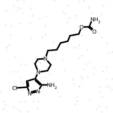 NC(=O)OCCCCCCN1CCN(c2cc(Cl)nnc2N)CC1